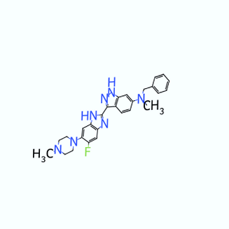 CN1CCN(c2cc3[nH]c(-c4n[nH]c5cc(N(C)Cc6ccccc6)ccc45)nc3cc2F)CC1